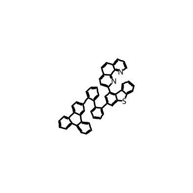 c1ccc(-c2ccccc2-c2ccc3c4ccccc4c4ccccc4c3c2)c(-c2cc(-c3ccc4ccc5cccnc5c4n3)c3c(c2)sc2ccccc23)c1